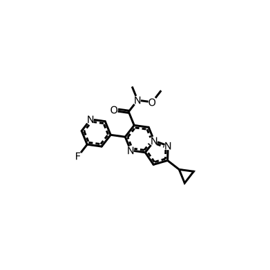 CON(C)C(=O)c1cn2nc(C3CC3)cc2nc1-c1cncc(F)c1